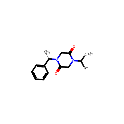 CC(C)C(C(=O)O)N1CC(=O)N([C@@H](C)c2ccccc2)CC1=O